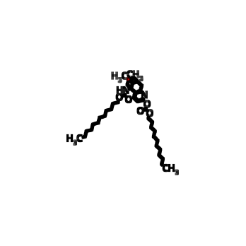 C/C=C1\C2C=C(C)CC1(NC(=O)OCCCCCCCCCCCC)c1ccc(OC(=O)OCCCCCCCCCCCC)nc1C2